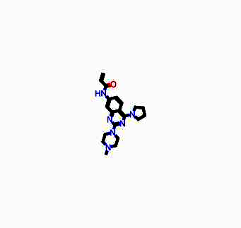 C=CC(=O)Nc1ccc2c(N3CCCC3)nc(N3CCN(C)CC3)nc2c1